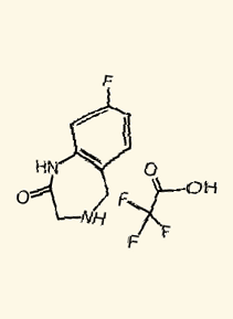 O=C(O)C(F)(F)F.O=C1CNCc2ccc(F)cc2N1